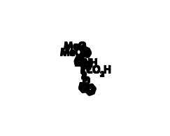 COc1cccc(-c2cccc3c(CCCOc4cccc5ccccc45)c(C(=O)O)[nH]c23)c1OC